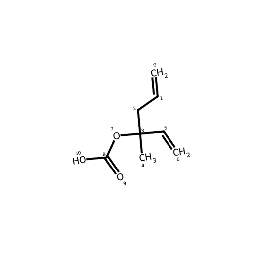 C=CCC(C)(C=C)OC(=O)O